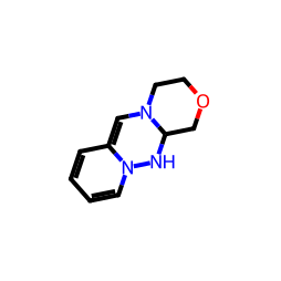 C1=CC2=CN3CCOCC3NN2C=C1